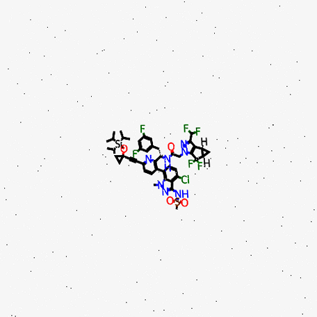 CC(C)[Si](OC1(C#Cc2ccc(-c3ccc(Cl)c4c(NS(C)(=O)=O)nn(C)c34)c([C@H](Cc3cc(F)cc(F)c3)NC(=O)Cn3nc(C(F)F)c4c3C(F)(F)[C@@H]3C[C@H]43)n2)CC1)(C(C)C)C(C)C